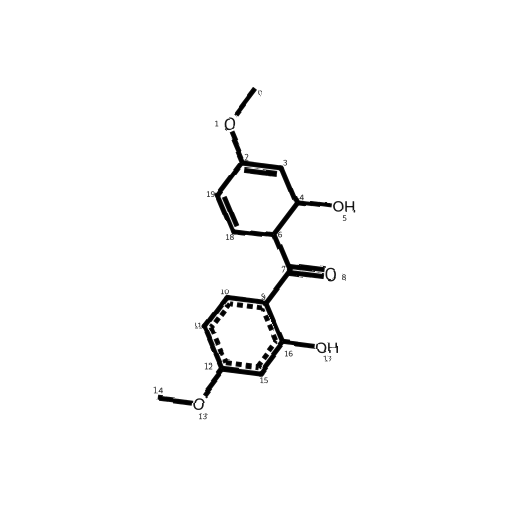 COC1=CC(O)C(C(=O)c2ccc(OC)cc2O)C=C1